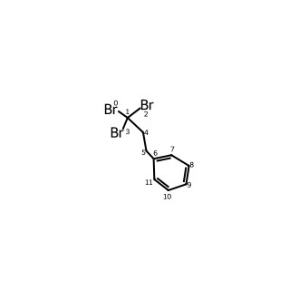 BrC(Br)(Br)CCc1ccccc1